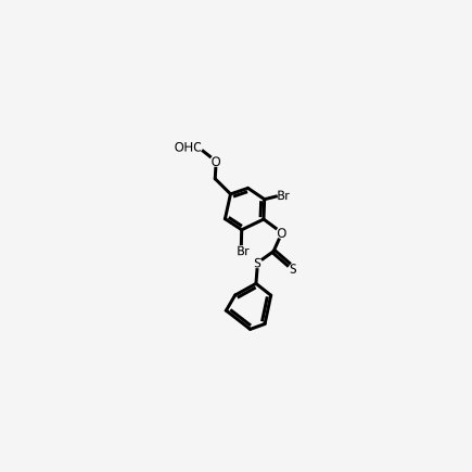 O=COCc1cc(Br)c(OC(=S)Sc2ccccc2)c(Br)c1